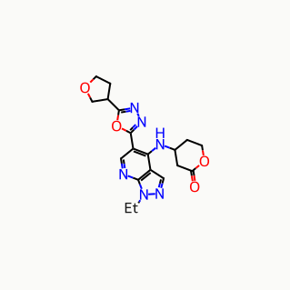 CCn1ncc2c(NC3CCOC(=O)C3)c(-c3nnc(C4CCOC4)o3)cnc21